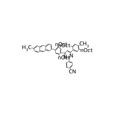 CCCCCCCCc1cc(-c2cc(-c3cc(CCCCCCCC)c(-c4ccc5cc6cc(C)ccc6cc5c4)cc3CCCCCCCC)nc(-c3ccc(C#N)cc3)n2)c(CCCCCCCC)cc1C